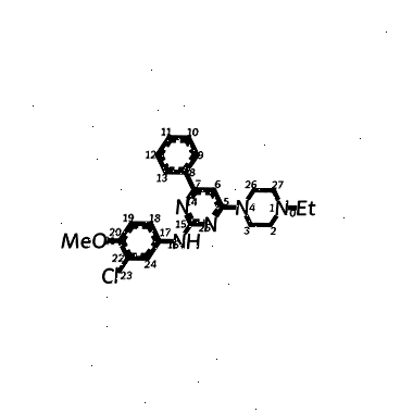 CCN1CCN(c2cc(-c3ccccc3)nc(Nc3ccc(OC)c(Cl)c3)n2)CC1